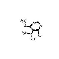 COc1ncnc(Cl)c1C(C)C